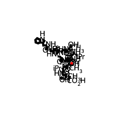 CC(C)C[C@H](NC(=O)[C@@H](NC(=O)CNC(=O)[C@H](CCC(N)=O)NC(=O)CNC(=O)[C@@H](N)Cc1c[nH]c2ccccc12)[C@@H](C)O)C(=O)N[C@H](C(=O)N[C@H](C(=O)N[C@H](C(=O)N[C@@H](CO)C(=O)N[C@@H](C)C(=O)O)C(C)C)[C@@H](C)O)C(C)C